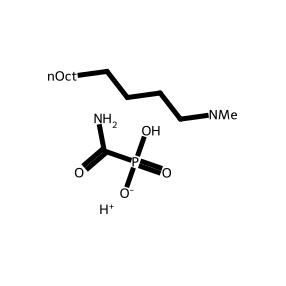 CCCCCCCCCCCCNC.NC(=O)P(=O)([O-])O.[H+]